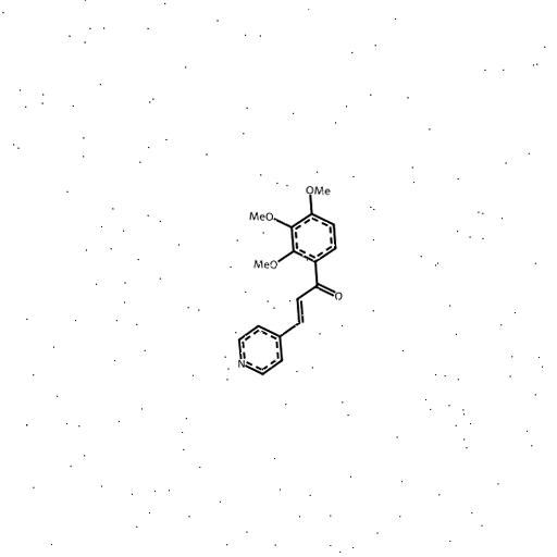 COc1ccc(C(=O)C=Cc2ccncc2)c(OC)c1OC